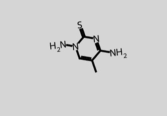 Cc1cn(N)c(=S)nc1N